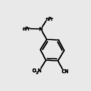 CCCN(CCC)c1ccc(C#N)c([N+](=O)[O-])c1